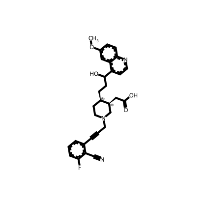 COc1ccc2nccc(C(O)CC[C@@H]3CCN(CC#Cc4cccc(F)c4C#N)C[C@@H]3CC(=O)O)c2c1